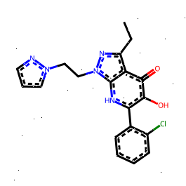 CCc1nn(CCn2cccn2)c2[nH]c(-c3ccccc3Cl)c(O)c(=O)c12